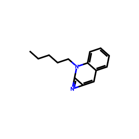 CCCCCN1C2=NC2=Cc2ccccc21